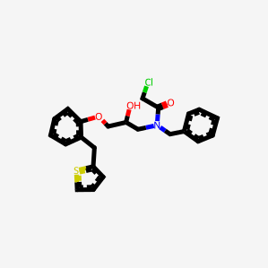 O=C(CCl)N(Cc1ccccc1)CC(O)COc1ccccc1Cc1cccs1